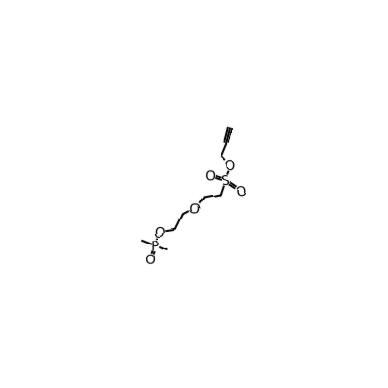 C#CCOS(=O)(=O)CCOCCOP(C)(C)=O